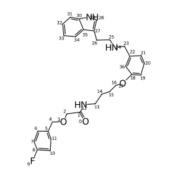 O=C(COCc1ccc(F)cc1)NCCCCOc1cccc(CNCCc2c[nH]c3ccccc23)c1